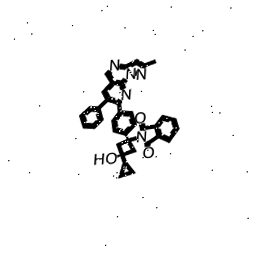 Cc1cc2ncc3cc(-c4ccccc4)c(-c4ccc([C@]5(N6C(=O)c7ccccc7C6=O)C[C@@](O)(C6CC6)C5)cc4)nc3n2n1